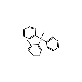 Cc1ccccc1S(I)(c1ccccc1)c1ccccc1